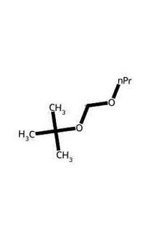 CCCO[CH]OC(C)(C)C